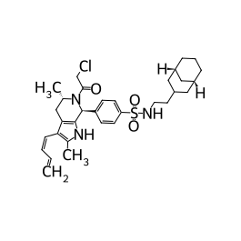 C=C/C=C\c1c(C)[nH]c2c1C[C@H](C)N(C(=O)CCl)[C@H]2c1ccc(S(=O)(=O)NCCC2C[C@H]3CCC[C@@H](C2)C3)cc1